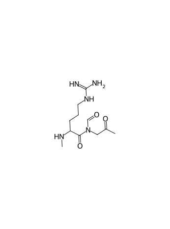 CNC(CCCNC(=N)N)C(=O)N(C=O)CC(C)=O